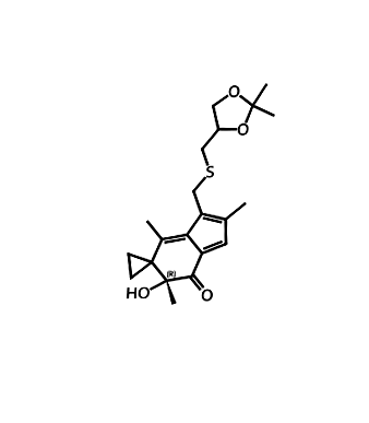 CC1=C(CSCC2COC(C)(C)O2)C2=C(C)C3(CC3)[C@@](C)(O)C(=O)C2=C1